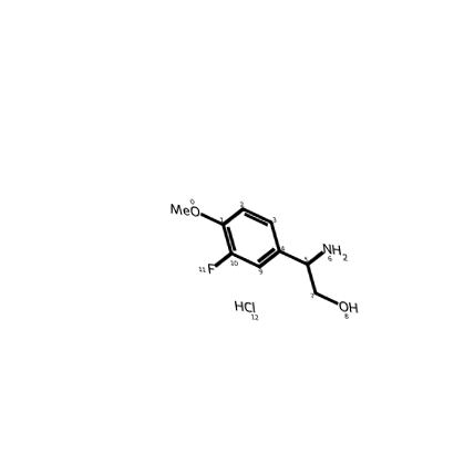 COc1ccc(C(N)CO)cc1F.Cl